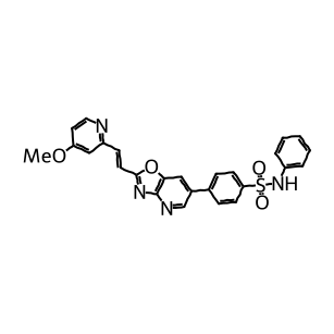 COc1ccnc(C=Cc2nc3ncc(-c4ccc(S(=O)(=O)Nc5ccccc5)cc4)cc3o2)c1